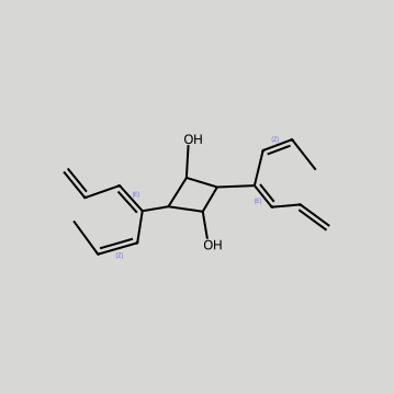 C=C/C=C(\C=C/C)C1C(O)C(C(/C=C\C)=C/C=C)C1O